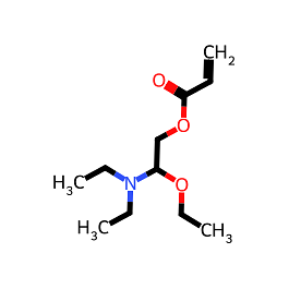 C=CC(=O)OCC(OCC)N(CC)CC